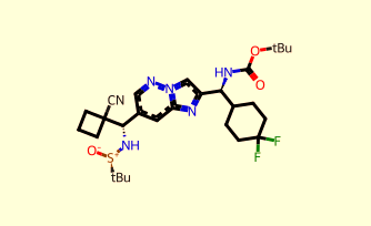 CC(C)(C)OC(=O)N[C@H](c1cn2ncc([C@H](N[S@+]([O-])C(C)(C)C)C3(C#N)CCC3)cc2n1)C1CCC(F)(F)CC1